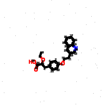 CCOC(Cc1ccc(OCCc2cnc3ccccc3c2)cc1)C(=O)O